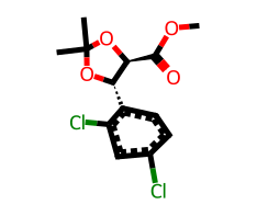 COC(=O)[C@@H]1OC(C)(C)O[C@H]1c1ccc(Cl)cc1Cl